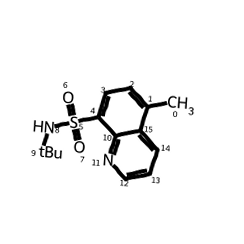 Cc1ccc(S(=O)(=O)NC(C)(C)C)c2ncccc12